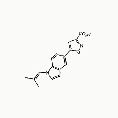 CC(C)=Cn1ccc2cc(-c3cc(C(=O)O)no3)ccc21